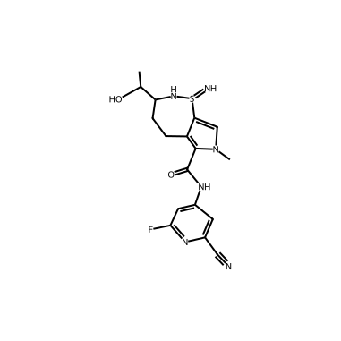 CC(O)C1CCc2c(cn(C)c2C(=O)Nc2cc(F)nc(C#N)c2)S(=N)N1